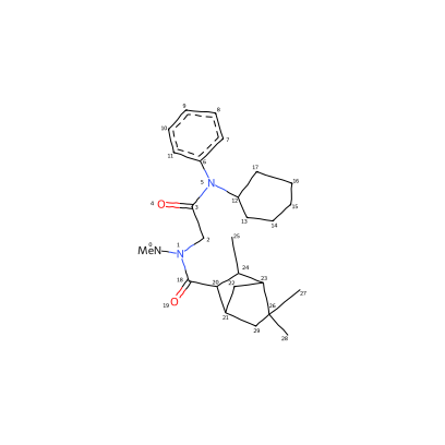 CNN(CC(=O)N(c1ccccc1)C1CCCCC1)C(=O)C1C2CC(C1C)C(C)(C)C2